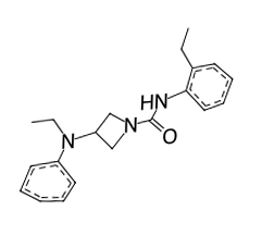 CCc1ccccc1NC(=O)N1CC(N(CC)c2ccccc2)C1